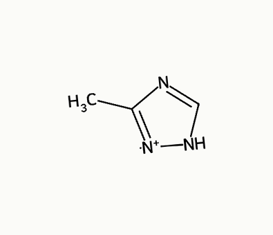 CC1=[N+]NC=N1